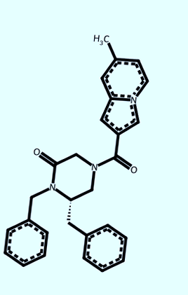 Cc1ccn2cc(C(=O)N3CC(=O)N(Cc4ccccc4)[C@@H](Cc4ccccc4)C3)cc2c1